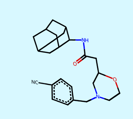 N#Cc1ccc(CN2CCOC(CC(=O)NC3C4CC5CC(C4)CC3C5)C2)cc1